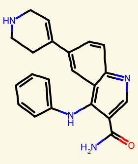 NC(=O)c1cnc2ccc(C3=CCNCC3)cc2c1Nc1ccccc1